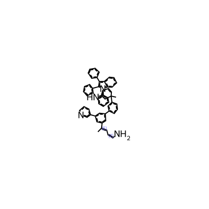 C/C(=C\C=C/N)c1cc(-c2cccnc2)cc(-c2cccc(C3(C)C=CC=C(Nc4ccccc4-c4c(-c5ccccc5)c5ccccc5n4-c4ccccc4)C3)c2)c1